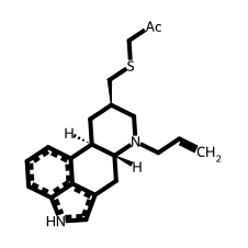 C=CCN1C[C@H](CSCC(C)=O)C[C@@H]2c3cccc4[nH]cc(c34)C[C@H]21